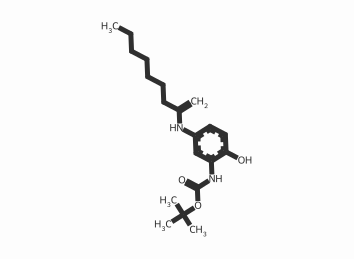 C=C(CCCCCCC)Nc1ccc(O)c(NC(=O)OC(C)(C)C)c1